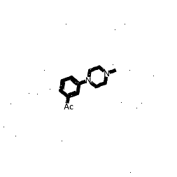 CC(=O)c1cccc(N2CCN(C)CC2)c1